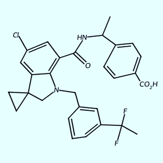 CC(NC(=O)c1cc(Cl)cc2c1N(Cc1cccc(C(C)(F)F)c1)CC21CC1)c1ccc(C(=O)O)cc1